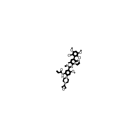 C=CC(=O)Nc1cc(/C(N=C)=N/c2c(C)cc(-c3c(Cl)c(OC)cc(OC)c3Cl)c3nccn23)c(OC)cc1N1CCN(C2COC2)CC1